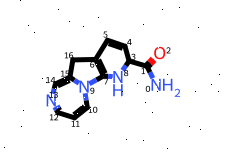 NC(=O)C1C=CC2=C(N1)N1C=CC=NC=C1C2